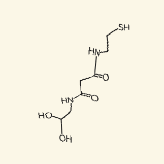 O=C(CC(=O)NCC(O)O)NCCS